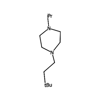 CC(C)N1CCN(CCC(C)(C)C)CC1